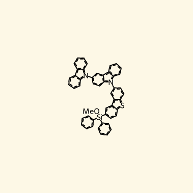 CO[Si](c1ccccc1)(c1ccccc1)c1ccc2sc3ccc(-n4c5ccccc5c5cc(-n6c7ccccc7c7ccccc76)ccc54)cc3c2c1